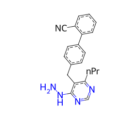 CCCc1ncnc(NN)c1Cc1ccc(-c2ccccc2C#N)cc1